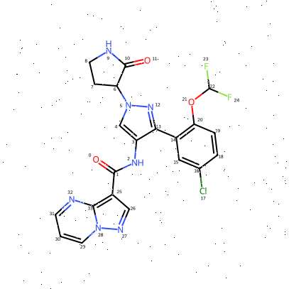 O=C(Nc1cn(C2CCNC2=O)nc1-c1cc(Cl)ccc1OC(F)F)c1cnn2cccnc12